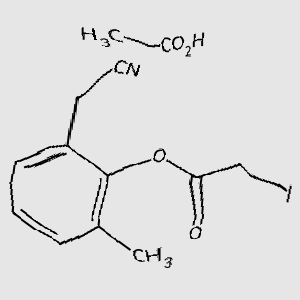 CC(=O)O.Cc1cccc(CC#N)c1OC(=O)CI